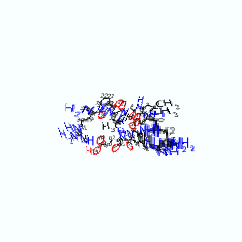 CC(C)C[C@H](NC(=O)CNC(=O)[C@H](CC(C)C)NC(=O)[C@@H]1CCCN1C(=O)[C@@H](N)CCCNC(=N)N)C(=O)N[C@@H](CCCCN)C(=O)N[C@@H](C)C(=O)N[C@@H](CCCNC(=N)N)C(=O)N[C@H]([C]=O)CCC(=O)O